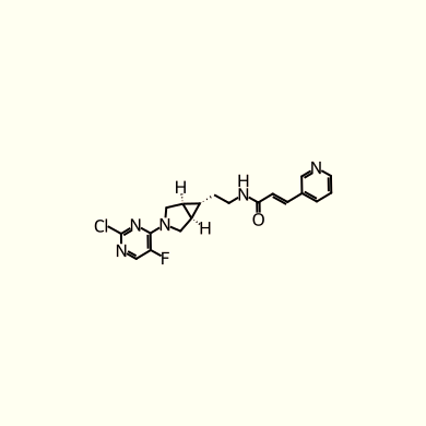 O=C(/C=C/c1cccnc1)NCC[C@@H]1[C@H]2CN(c3nc(Cl)ncc3F)C[C@@H]12